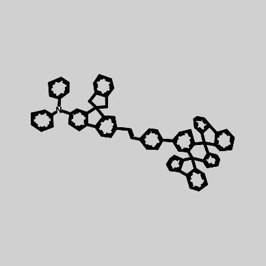 C(=C\c1ccc2c(c1)C1(Cc3ccccc3C1)c1cc(N(c3ccccc3)c3ccccc3)ccc1-2)/c1ccc(-c2ccc3c(c2)C2(c4ccccc4-c4ccccc42)c2ccccc2C32c3ccccc3-c3ccccc32)cc1